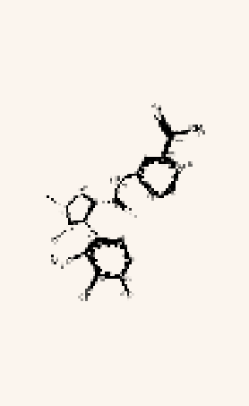 COc1c([C@@H]2[C@H](C)[C@H](C)O[C@@H]2C(=O)Nc2ccnc(C(N)=O)c2)ccc(F)c1F